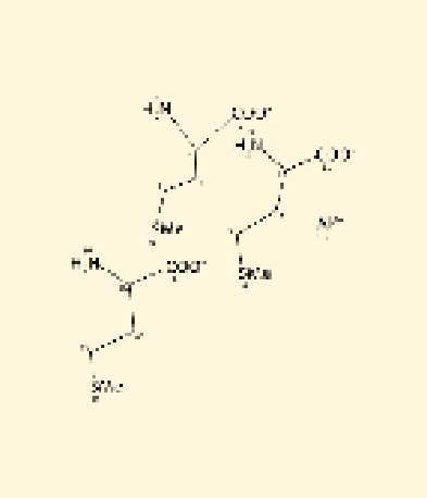 CSCCC(N)C(=O)[O-].CSCCC(N)C(=O)[O-].CSCCC(N)C(=O)[O-].[Al+3]